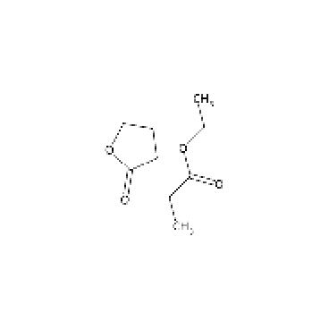 CCOC(=O)CC.O=C1CCCO1